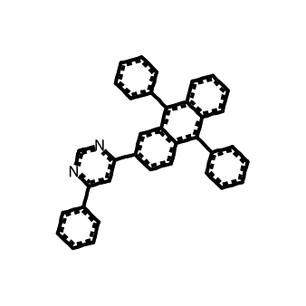 c1ccc(-c2cc(-c3ccc4c(-c5ccccc5)c5ccccc5c(-c5ccccc5)c4c3)ncn2)cc1